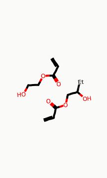 C=CC(=O)OCC(O)CC.C=CC(=O)OCCO